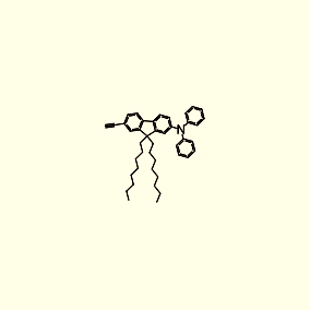 C#Cc1ccc2c(c1)C(CCCCCCCC)(CCCCCCCC)c1cc(N(c3ccccc3)c3ccccc3)ccc1-2